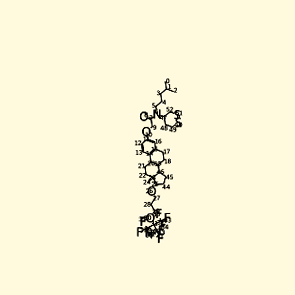 CC(C)CCCN(C(=O)COc1ccc2c(c1)CCC1C2CCC2(C)C(OCCCOC(C(F)(F)F)(C(F)(F)F)C(F)(F)F)CCC12)C1CCSSC1